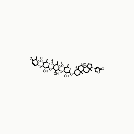 CC1O[C@H](O[C@@H]2[C@H](O)C(O[C@@H]3[C@H](O)C(O[C@@H]4[C@H](O)C(O[C@H]5CCC6(C)C7CCC8(C)[C@@H](C9=CC(=O)OC9)CC[C@]8(O)C7CC[C@@H]6C5)OC(C)[C@@H]4O)OC(C)[C@@H]3O)OC(C)[C@@H]2O)C=CC1=O